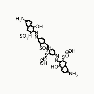 Nc1ccc2c(O)c(N=Nc3ccc(C=Cc4ccc(N=Nc5c(S(=O)(=O)O)cc6cc(N)ccc6c5O)cc4S(=O)(=O)O)c(SOOO)c3)c(SOOO)cc2c1